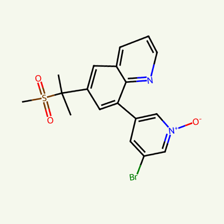 CC(C)(c1cc(-c2cc(Br)c[n+]([O-])c2)c2ncccc2c1)S(C)(=O)=O